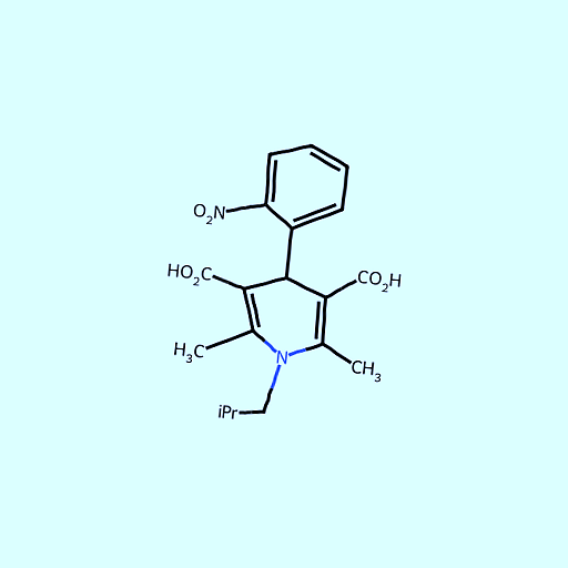 CC1=C(C(=O)O)C(c2ccccc2[N+](=O)[O-])C(C(=O)O)=C(C)N1CC(C)C